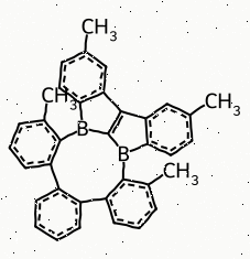 Cc1ccc2c(c1)C1=C3B2c2c(C)cccc2-c2ccccc2-c2cccc(C)c2B3c2ccc(C)cc21